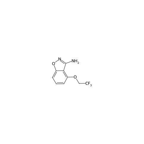 Nc1noc2cccc(OCC(F)(F)F)c12